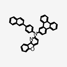 c1ccc2cc(-c3ccc(N(c4ccc5c6ccccc6c6ccccc6c5c4)c4ccc5oc6ccccc6c5n4)cc3)ccc2c1